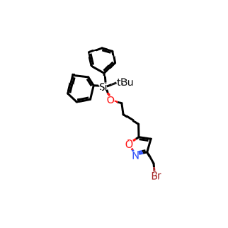 CC(C)(C)[Si](OCCCc1cc(CBr)no1)(c1ccccc1)c1ccccc1